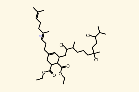 CCOC(=O)C1CC(CC/C=C(\C)CCC=C(C)C)=CC(CC(Cl)C(C)CCCC(C)(Cl)CCC(Cl)C(C)C)C1C(=O)OCC